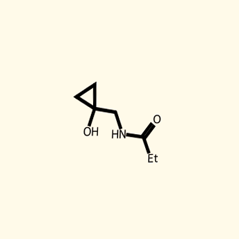 CCC(=O)NCC1(O)CC1